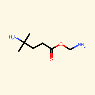 CC(C)(N)CCC(=O)OCN